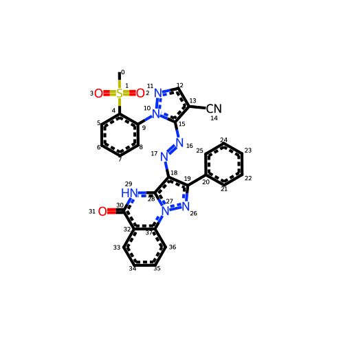 CS(=O)(=O)c1ccccc1-n1ncc(C#N)c1/N=N/c1c(-c2ccccc2)nn2c1[nH]c(=O)c1ccccc12